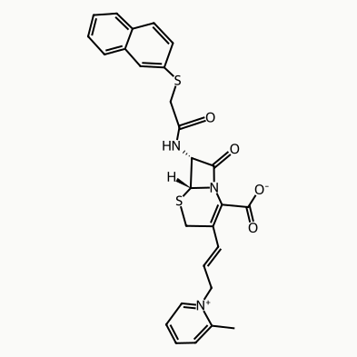 Cc1cccc[n+]1CC=CC1=C(C(=O)[O-])N2C(=O)[C@@H](NC(=O)CSc3ccc4ccccc4c3)[C@H]2SC1